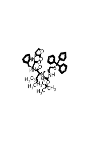 CC[C@H](C)[C@H](NC[C@H](CSC(c1ccccc1)(c1ccccc1)c1ccccc1)NC(=O)OC(C)(C)C)C(=O)N[C@@H](Cc1ccccc1)C(=O)N[C@H]1CCOC1=O